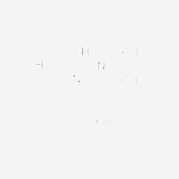 CCCC(=NC(C)C)NC(C)C